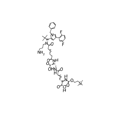 CC(C)(C)[C@H](c1cc(-c2cc(F)ccc2F)cn1Cc1ccccc1)N(CCCN)C(=O)CSCCC(=O)N[C@H](CNC(=O)CSC[C@H](NC(=O)OCC[Si](C)(C)C)C(=O)O)C(=O)O